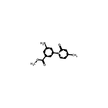 COC(=O)c1cc(N)cc(-n2ccc(C)cc2=O)c1